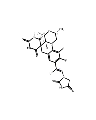 C/C(=N\N1CC(=O)NC1=O)c1cc2c(c(F)c1F)N1C[C@@H](C)O[C@@H](C)[C@@H]1C1(C2)C(=O)NC(=O)NC1=O